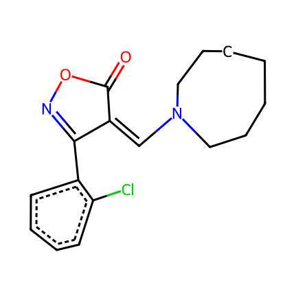 O=C1ON=C(c2ccccc2Cl)C1=CN1CCCCCCC1